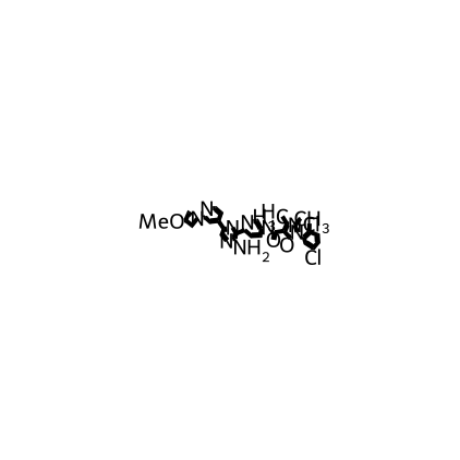 COC1CN(c2cc(-c3cnc(N)c(-c4ccc(NC(=O)c5c(C)n(C)n(-c6cc(Cl)ccc6Cl)c5=O)cn4)n3)ccn2)C1